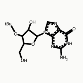 CC(C)(C)OC1C(CO)OC(n2cnc3c(=O)[nH]c(N)nc32)C1O